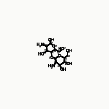 NC1C(OC2C(CO)OC(O)C(N)C2O)OC(CO)C(O)C1O